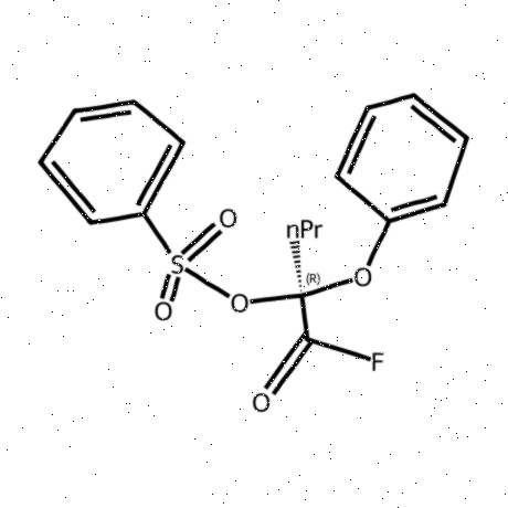 CCC[C@@](Oc1ccccc1)(OS(=O)(=O)c1ccccc1)C(=O)F